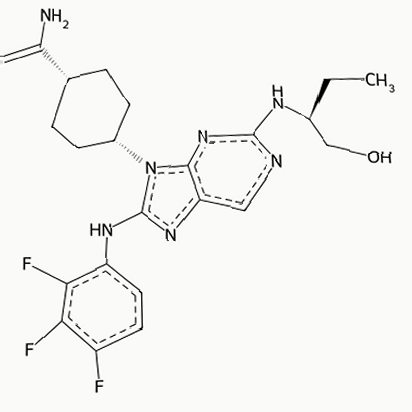 CC[C@@H](CO)Nc1ncc2nc(Nc3ccc(F)c(F)c3F)n([C@H]3CC[C@@H](C(N)=O)CC3)c2n1